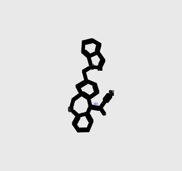 C/C(C#N)=C1/c2ccc(Cn3ncc4ccccc43)cc2COc2ccccc21